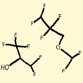 FC(F)OCC(F)(F)C(F)F.OC(C(F)F)C(F)(F)F